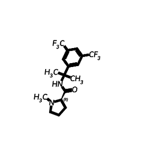 CN1CCC[C@@H]1C(=O)NC(C)(C)c1cc(C(F)(F)F)cc(C(F)(F)F)c1